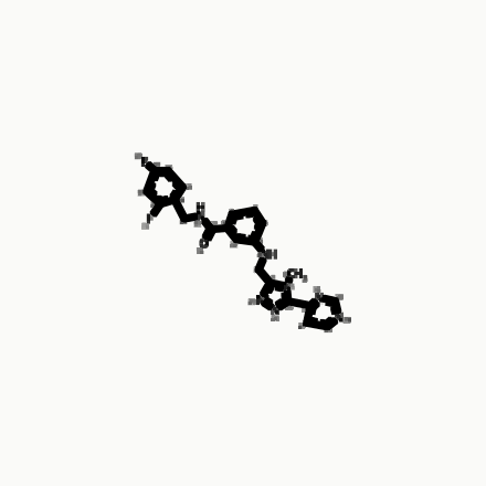 Cn1c(CNc2cccc(C(=O)NCc3ccc(F)cc3F)c2)nnc1-c1ccncn1